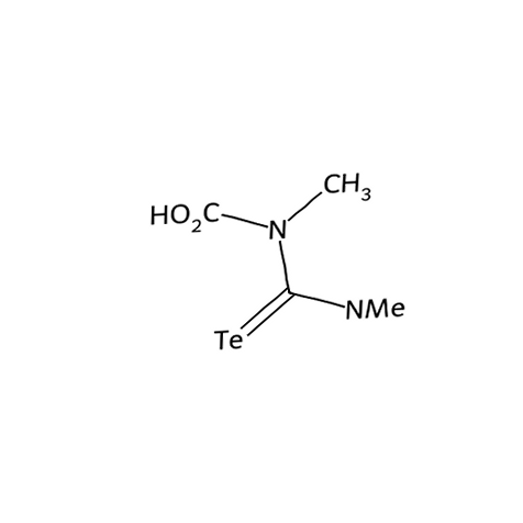 CNC(=[Te])N(C)C(=O)O